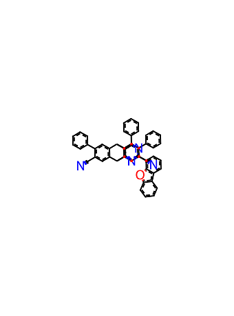 N#Cc1cc2c(cc1-c1ccccc1)C1c3cc(-c4ccccc4)c(C#N)cc3C2c2nc(-c3cccc4c3oc3ccccc34)nc(-c3ccccc3)c21